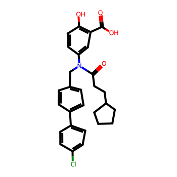 O=C(O)c1cc(N(Cc2ccc(-c3ccc(Cl)cc3)cc2)C(=O)CCC2CCCC2)ccc1O